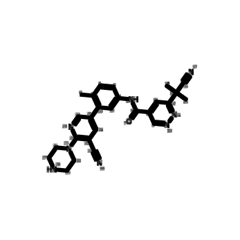 Cc1ccc(NC(=O)c2cnnc(C(C)(C)C#N)c2)cc1-c1cnc(N2CCNCC2)c(C#N)c1